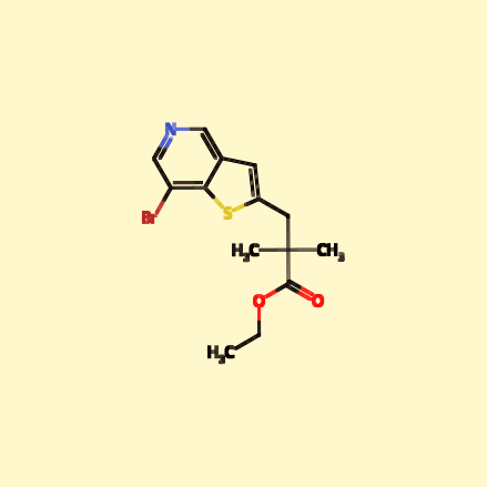 CCOC(=O)C(C)(C)Cc1cc2cncc(Br)c2s1